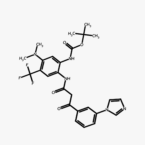 CN(C)c1cc(NC(=O)OC(C)(C)C)c(NC(=O)CC(=O)c2cccc(-n3ccnc3)c2)cc1C(F)(F)F